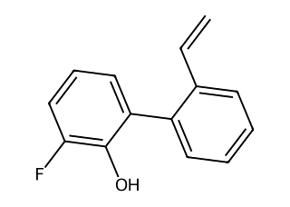 C=Cc1ccccc1-c1cccc(F)c1O